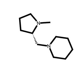 CN1CCC[C@H]1CN1CCCCC1